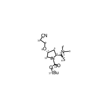 CN(C)C(=S)[C@@H]1C[C@@H](OCCC#N)CN1C(=O)OC(C)(C)C